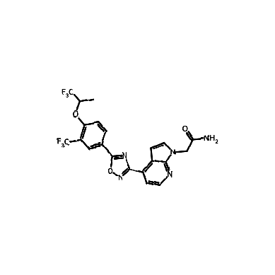 CC(Oc1ccc(-c2nc(-c3ccnc4c3ccn4CC(N)=O)no2)cc1C(F)(F)F)C(F)(F)F